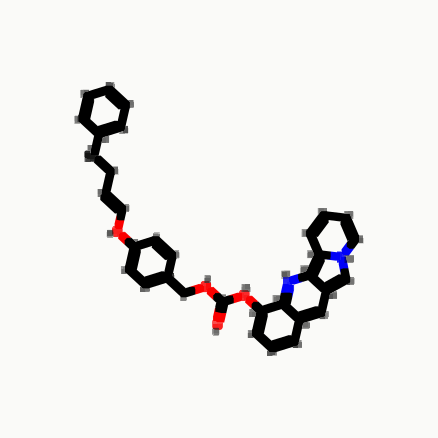 O=C(OCc1ccc(OC=CC[Se]c2ccccc2)cc1)Oc1cccc2cc3cn4ccccc4c3nc12